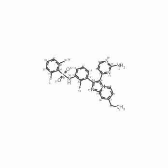 CCc1ccn2c(-c3ccnc(N)n3)c(-c3cccc(NS(=O)(=O)c4c(F)cccc4F)c3F)nc2c1